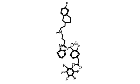 CCOC(c1ccc(CC(=O)Oc2c(F)c(F)c(F)c(F)c2F)cc1F)n1c(CCCN(C)CCC2CCc3cc(F)ccc3C2)nc2ccccc21